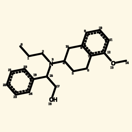 CCCN(C1CCc2c(cccc2OC)C1)C(CO)c1ccccc1